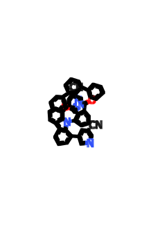 N#Cc1cncc(-c2cccc3c4cccc(-c5cncc(C#N)c5)c4n(-c4cccc5c4C(=O)N(c4c(-c6ccccc6)cccc4-c4ccccc4)C5=O)c23)c1